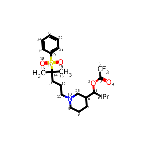 CC(C)C(OC(=O)C(F)(F)F)C1CCCN(CCCC(C)(C)S(=O)(=O)c2ccccc2)C1